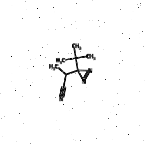 CC(C#N)C1(C(C)(C)C)N=N1